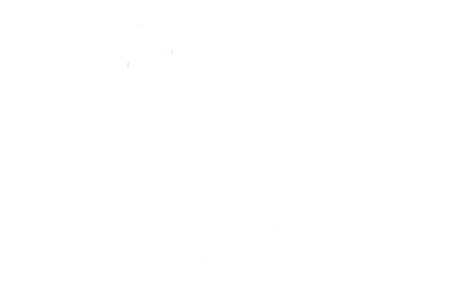 CC(C(=O)OCC(=O)NC1CCCCCC1)c1ccc(OC(=O)c2ccc(NC(=N)N)cc2)cc1